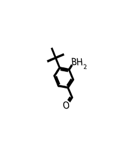 Bc1cc(C=O)ccc1C(C)(C)C